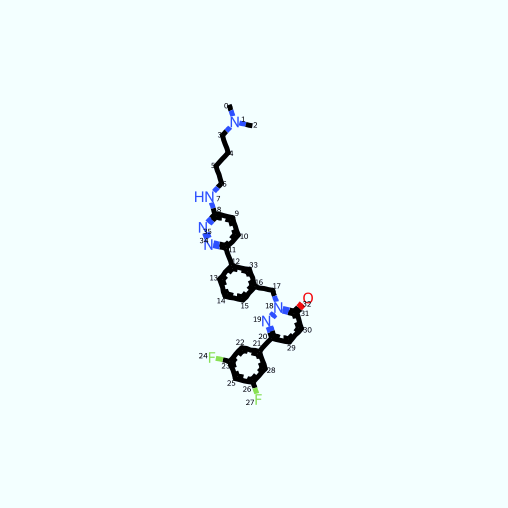 CN(C)CCCCNc1ccc(-c2cccc(Cn3nc(-c4cc(F)cc(F)c4)ccc3=O)c2)nn1